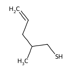 C=CCC(C)CS